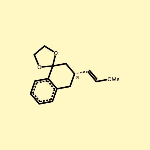 COC=C[C@@H]1Cc2ccccc2C2(C1)OCCO2